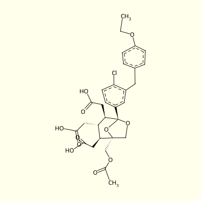 CCOc1ccc(Cc2cc([C@@]34OC[C@](COC(C)=O)(O3)[C@@H](CC(=O)O)[C@H](CC(=O)O)[C@H]4CC(=O)O)ccc2Cl)cc1